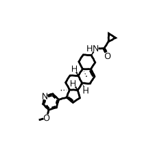 COc1cncc(C2=CC[C@H]3[C@@H]4CC=C5C[C@H](NC(=O)C6CC6)CC[C@]5(C)[C@H]4CC[C@]23C)c1